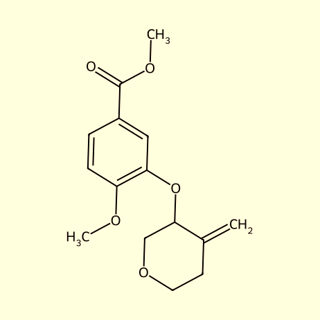 C=C1CCOCC1Oc1cc(C(=O)OC)ccc1OC